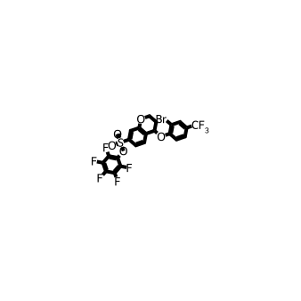 O=S(=O)(Oc1c(F)c(F)c(F)c(F)c1F)c1ccc2c(c1)OCCC2Oc1ccc(C(F)(F)F)cc1Br